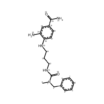 CN(Cc1ccccc1)C(=O)NCCCNc1ccc(C(N)=O)cc1N